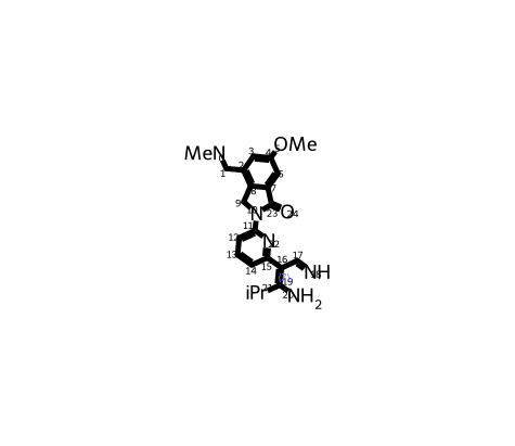 CNCc1cc(OC)cc2c1CN(c1cccc(/C(C=N)=C(/N)C(C)C)n1)C2=O